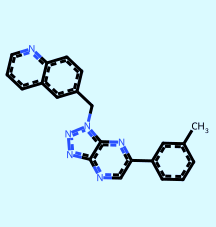 Cc1cccc(-c2cnc3nnn(Cc4ccc5ncccc5c4)c3n2)c1